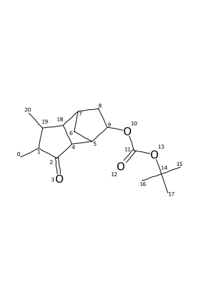 CC1C(=O)C2C3CC(CC3OC(=O)OC(C)(C)C)C2C1C